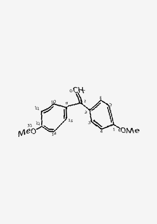 [CH]=C(c1ccc(OC)cc1)c1ccc(OC)cc1